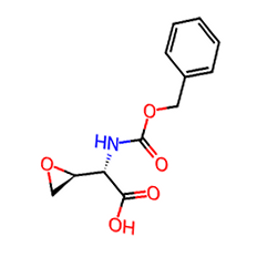 O=C(N[C@H](C(=O)O)[C@H]1CO1)OCc1ccccc1